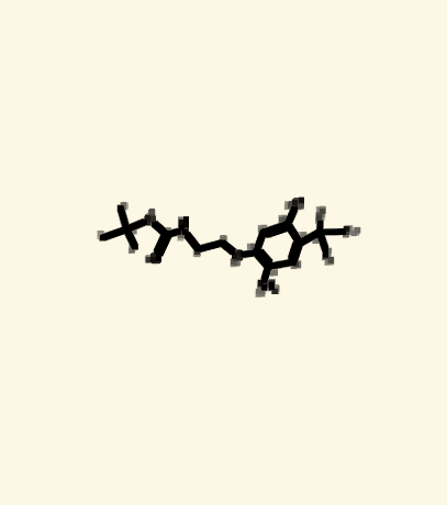 CC(C)(C)OC(=O)NCCOc1cc(Cl)c(C(F)(F)F)cc1N